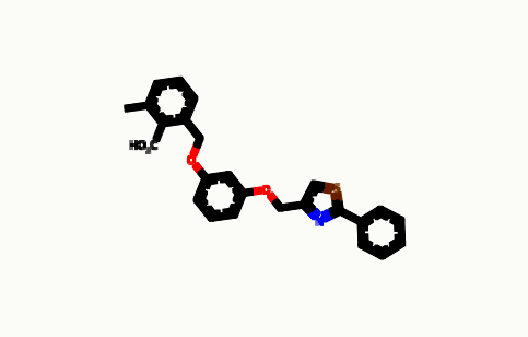 Cc1cccc(COc2cccc(OCc3csc(-c4ccccc4)n3)c2)c1C(=O)O